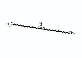 CCCCCCCCC=CCCCCCCCCOCC(O)COCCCCCCCCC=CCCCCCCCC